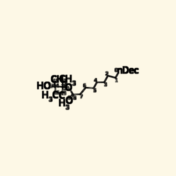 CCCCCCCCCCCCCCCCCC(=O)OC(C)(C)C(C)(C)O